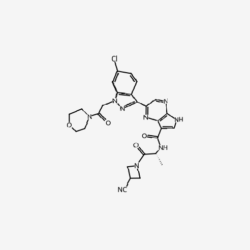 C[C@@H](NC(=O)c1c[nH]c2ncc(-c3nn(CC(=O)N4CCOCC4)c4cc(Cl)ccc34)nc12)C(=O)N1CC(C#N)C1